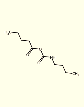 CCCCNC(=O)OC(=O)CCCC